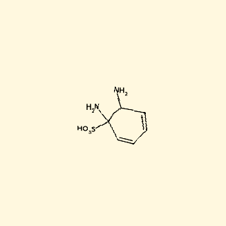 NC1C=CC=CC1(N)S(=O)(=O)O